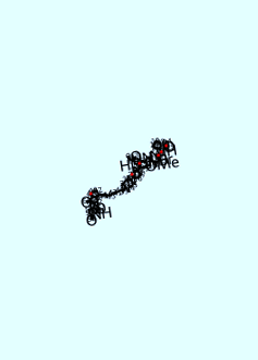 C=CC(=O)Nc1cc(Nc2ncc(Br)c(Nc3ccccc3P(C)(C)=O)n2)c(OC)cc1N1CCC(N2CCN(CCCCCC#Cc3cccc4c3CN(C3CCC(=O)NC3=O)C4=O)CC2)CC1